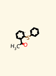 CC(=O)c1ccc[c]c1Sc1ccccc1